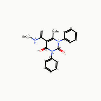 C=C(NC(=O)OCC)c1c(NC)n(-c2ccccc2)c(=O)n(-c2ccccc2)c1=O